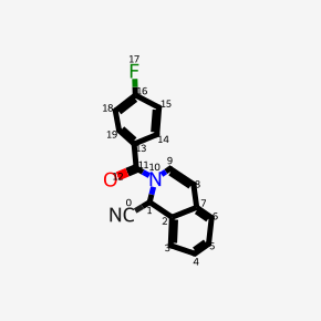 N#CC1c2ccccc2C=CN1C(=O)c1ccc(F)cc1